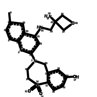 Cc1ccc2nc(N3CCS(=O)(=O)c4ccc(O)cc4C3)cc(NCC3(N)COC3)c2c1